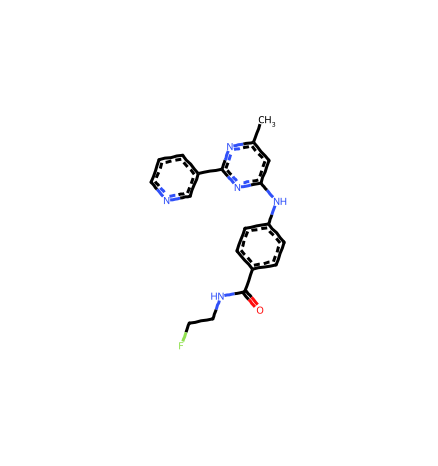 Cc1cc(Nc2ccc(C(=O)NCCF)cc2)nc(-c2cccnc2)n1